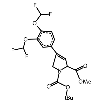 COC(=O)C1C=C(c2ccc(OC(F)F)c(OC(F)F)c2)CN1C(=O)OC(C)(C)C